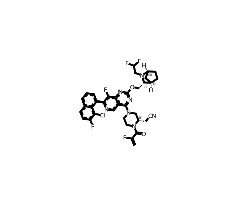 C=C(F)C(=O)N1CCN(c2nc(OC[C@H]3[C@@H]4CC[C@@H](C4)N3CC(F)F)nc3c(F)c(-c4cccc5ccc(F)c(Cl)c45)ncc23)C[C@@H]1CC#N